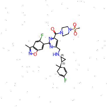 Cc1noc2cc(-c3nc(CN[C@@H]4C[C@H]4C4(C)C=CC(F)=CC4)cc(C(=O)N4CCN(S(C)(=O)=O)CC4)n3)c(F)cc12